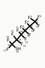 FC(F)(F)C(F)(F)C(F)(F)C(F)(F)C(F)(F)C(F)(F)S